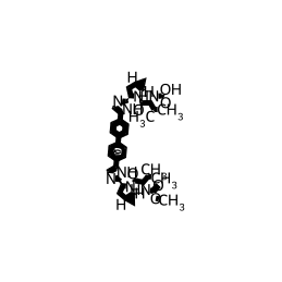 COC(=O)N[C@H](C(=O)N1[C@@H]2C[C@H]2C[C@H]1c1ncc(C23CCC(c4ccc(-c5cnc([C@@H]6C[C@H]7C[C@H]7N6C(=O)[C@@H](NC(=O)O)C(C)C)[nH]5)cc4)(CC2)CC3)[nH]1)C(C)C